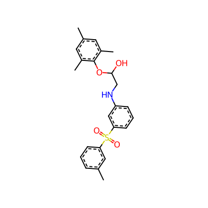 Cc1cccc(S(=O)(=O)c2cccc(NCC(O)Oc3c(C)cc(C)cc3C)c2)c1